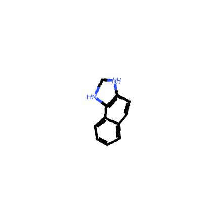 c1ccc2c3c(ccc2c1)NCN3